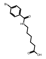 O=C(O)CCCCCNC(=O)c1ccc(Br)cc1